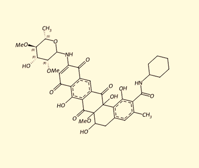 CO[C@@H]1[C@@H](O)[C@@H](OC)C(NC2=CC(=O)c3c(cc4c(c3O)C(=O)C3(OC)C(O)Cc5cc(C)c(C(=O)NC6CCCCC6)c(O)c5C3(O)C4=O)C2=O)O[C@H]1C